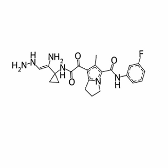 Cc1c(C(=O)C(=O)NC2(/C(N)=C/NN)CC2)c2n(c1C(=O)Nc1cccc(F)c1)CCC2